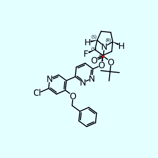 CC(C)(C)OC(=O)N1[C@@H]2CC[C@H]1[C@H](F)[C@H](Oc1ccc(-c3cnc(Cl)cc3OCc3ccccc3)nn1)C2